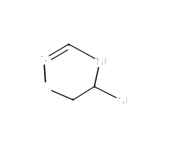 NC1CON=CN1